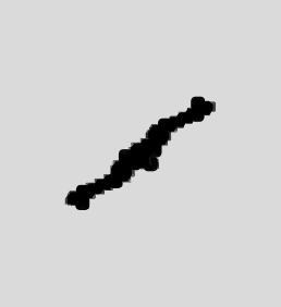 C=CC(=O)OCCCCCCOc1ccc(C(=O)Cc2ccc(OC(=O)c3ccc(OCCCCCCOC(=O)C=C)cc3)c(C=O)c2)cc1